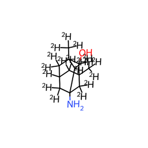 [2H]C([2H])([2H])C12C([2H])([2H])C3([2H])C([2H])([2H])C(N)(C1([2H])[2H])C([2H])([2H])C(C([2H])([2H])[2H])(C3([2H])[2H])C2([2H])O